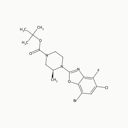 C[C@H]1CN(C(=O)OC(C)(C)C)CCN1c1nc2c(F)c(Cl)cc(Br)c2o1